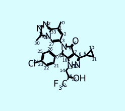 Cc1cc(N2C(=O)c3c(C4CC4)nn(C[C@@H](O)C(F)(F)F)c3[C@@H]2c2ccc(Cl)cc2)cn2c(C)nnc12